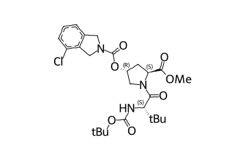 COC(=O)[C@@H]1C[C@@H](OC(=O)N2Cc3cccc(Cl)c3C2)CN1C(=O)[C@@H](NC(=O)OC(C)(C)C)C(C)(C)C